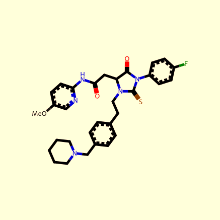 COc1ccc(NC(=O)CC2C(=O)N(c3ccc(F)cc3)C(=S)N2CCc2ccc(CN3CCCCC3)cc2)nc1